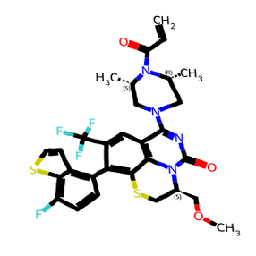 C=CC(=O)N1[C@H](C)CN(c2nc(=O)n3c4c(c(-c5ccc(F)c6sccc56)c(C(F)(F)F)cc24)SC[C@@H]3COC)C[C@@H]1C